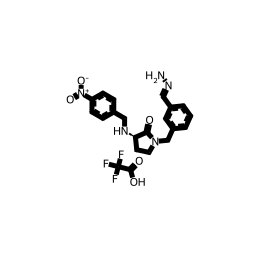 NN=Cc1cccc(CN2CC[C@H](NCc3ccc([N+](=O)[O-])cc3)C2=O)c1.O=C(O)C(F)(F)F